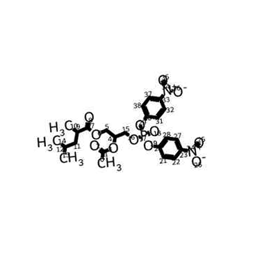 CC(=O)OC(COC(=O)C(C)CC(C)C)COP(=O)(Oc1ccc([N+](=O)[O-])cc1)Oc1ccc([N+](=O)[O-])cc1